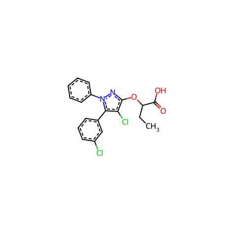 CCC(Oc1nn(-c2ccccc2)c(-c2cccc(Cl)c2)c1Cl)C(=O)O